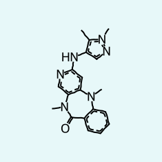 Cc1c(Nc2cc3c(cn2)N(C)C(=O)c2ccccc2N3C)cnn1C